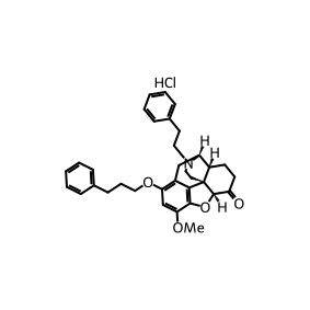 COc1cc(OCCCc2ccccc2)c2c3c1O[C@H]1C(=O)CC[C@H]4[C@@H](C2)N(CCc2ccccc2)CC[C@]314.Cl